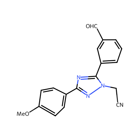 COc1ccc(-c2nc(-c3cccc(C=O)c3)n(CC#N)n2)cc1